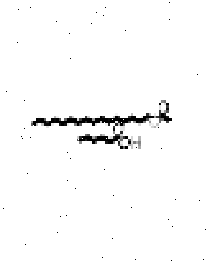 CCCCCC(=O)O.CCCCCCCCCCCCCCCCOC(C)=O